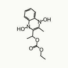 CCOC(=O)OC(C)C1=C(C)N(O)c2ccccc2N1O